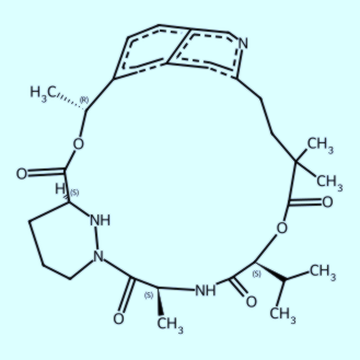 CC(C)[C@@H]1OC(=O)C(C)(C)CCc2cc3cc(ccc3cn2)[C@@H](C)OC(=O)[C@@H]2CCCN(N2)C(=O)[C@H](C)NC1=O